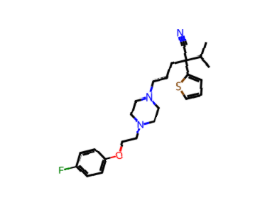 CC(C)C(C#N)(CCCN1CCN(CCOc2ccc(F)cc2)CC1)c1cccs1